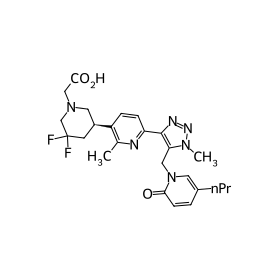 CCCc1ccc(=O)n(Cc2c(-c3ccc([C@@H]4CN(CC(=O)O)CC(F)(F)C4)c(C)n3)nnn2C)c1